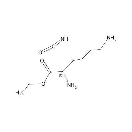 CCOC(=O)[C@@H](N)CCCCN.N=C=O